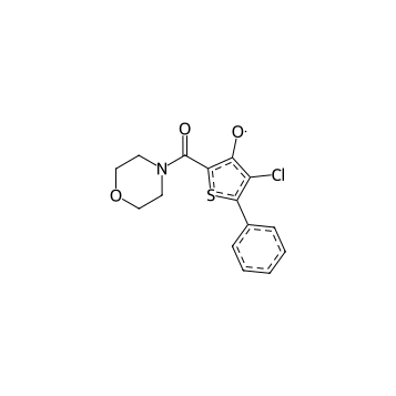 [O]c1c(C(=O)N2CCOCC2)sc(-c2ccccc2)c1Cl